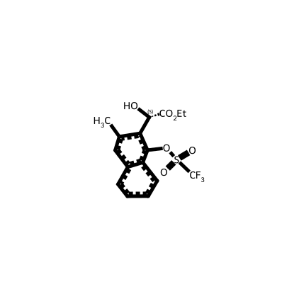 CCOC(=O)[C@@H](O)c1c(C)cc2ccccc2c1OS(=O)(=O)C(F)(F)F